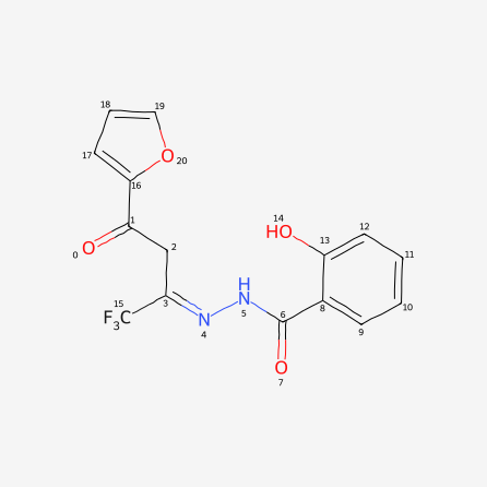 O=C(CC(=NNC(=O)c1ccccc1O)C(F)(F)F)c1ccco1